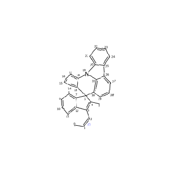 C/C=C\C1=C(C)C2(c3ccccc31)c1ccccc1-n1c3ccccc3c3cccc2c31